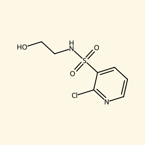 O=S(=O)(NCCO)c1cccnc1Cl